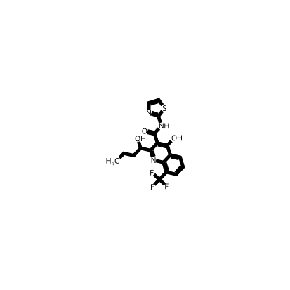 CCCC(O)c1nc2c(C(F)(F)F)cccc2c(O)c1C(=O)Nc1nccs1